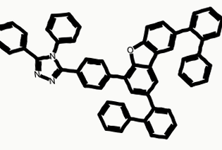 c1ccc(-c2ccccc2-c2ccc3oc4c(-c5ccc(-c6nnc(-c7ccccc7)n6-c6ccccc6)cc5)cc(-c5ccccc5-c5ccccc5)cc4c3c2)cc1